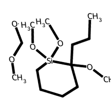 CCCC1(OC)CCCC[Si]1(OC)OC.COC[O]